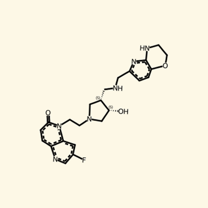 O=c1ccc2ncc(F)cc2n1CCN1C[C@H](CNCc2ccc3c(n2)NCCO3)[C@H](O)C1